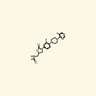 CC(=O)NCC1CN(c2ccc(N3CCN(c4ncncc4C)CC3)c(F)c2)C(=O)O1